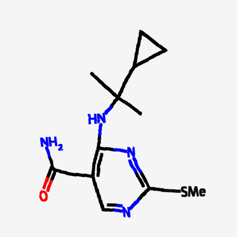 CSc1ncc(C(N)=O)c(NC(C)(C)C2CC2)n1